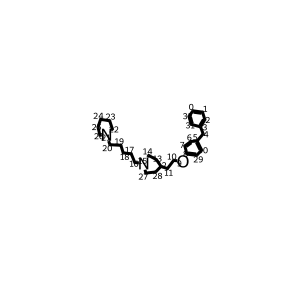 c1ccc(Cc2ccc(OCCC3CCN(CCCCCN4CCCCC4)CC3)cc2)cc1